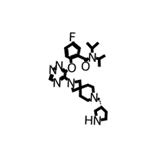 CC(C)N(C(=O)c1cc(F)ccc1Oc1nncnc1N1CC2(CCN(C[C@@H]3CCNC3)CC2)C1)C(C)C